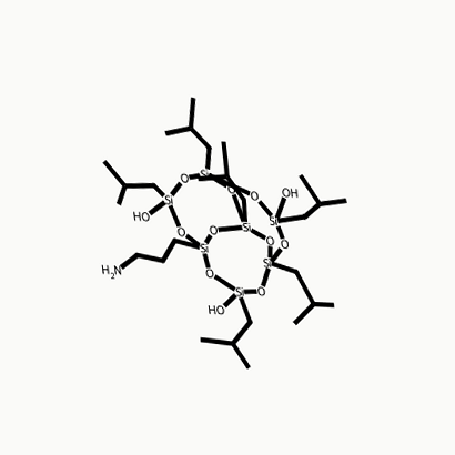 CC(C)C[Si]1(O)O[Si]2(CCCN)O[Si](O)(CC(C)C)O[Si]3(CC(C)C)O[Si](O)(CC(C)C)O[Si](CC(C)C)(O1)O[Si](CC(C)C)(O2)O3